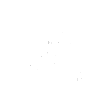 CNC(=O)c1ccc(C)c(-n2c(C)nc(=O)c(Br)c2OCc2ccc(F)cc2F)c1